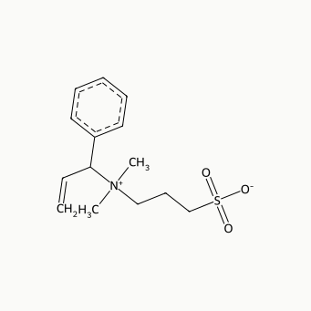 C=CC(c1ccccc1)[N+](C)(C)CCCS(=O)(=O)[O-]